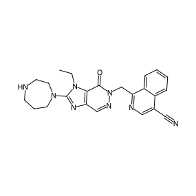 CCn1c(N2CCCNCC2)nc2cnn(Cc3ncc(C#N)c4ccccc34)c(=O)c21